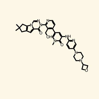 Cn1cc(-c2ccnc(-n3ncn4c5c(cc4c3=O)CC(C)(C)C5)c2CO)cc(Nc2ccc(N3CCN(C4COC4)CC3)cn2)c1=O